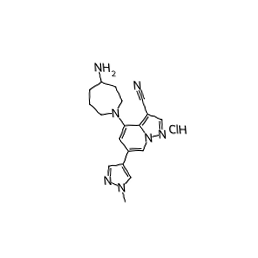 Cl.Cn1cc(-c2cc(N3CCCC(N)CC3)c3c(C#N)cnn3c2)cn1